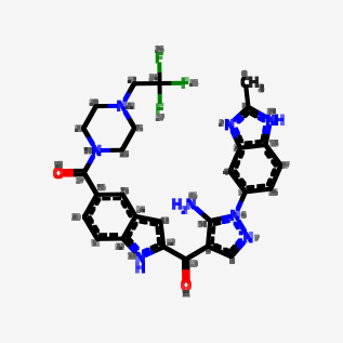 Cc1nc2cc(-n3ncc(C(=O)c4cc5cc(C(=O)N6CCN(CC(F)(F)F)CC6)ccc5[nH]4)c3N)ccc2[nH]1